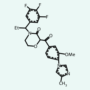 CCC(c1cc(F)c(F)c(F)c1)N1CCOC(C(=O)c2ccc(-n3cnc(C)c3)c(OC)c2)C1=O